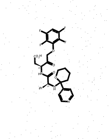 CC(C)[C@H](NC1(c2ccncc2)CCCCO1)C(=O)N[C@@H](CC(=O)O)C(=O)COc1c(F)c(F)cc(F)c1F